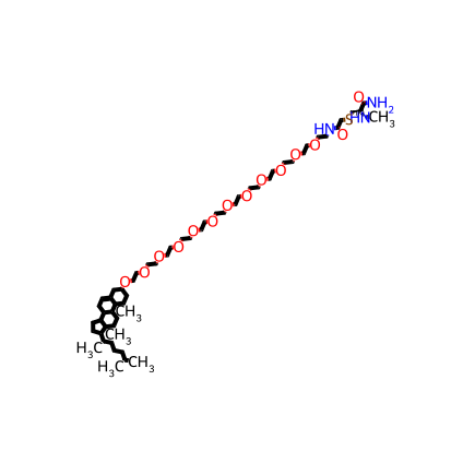 CN[C@@H](CSCC(=O)NCCOCCOCCOCCOCCOCCOCCOCCOCCOCCOCCOCCOC1CCC2(C)C(=CCC3C2CCC2(C)C(C(C)CCCC(C)C)CCC32)C1)C(N)=O